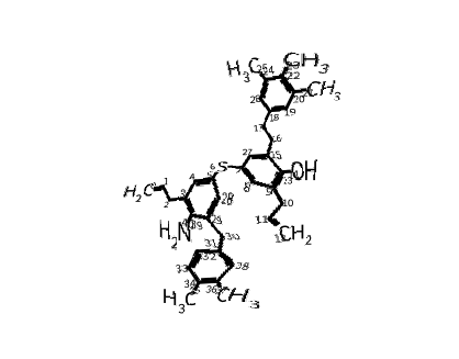 C=CCc1cc(Sc2cc(CC=C)c(O)c(CCc3cc(C)c(C)c(C)c3)c2)cc(Cc2ccc(C)c(C)c2)c1N